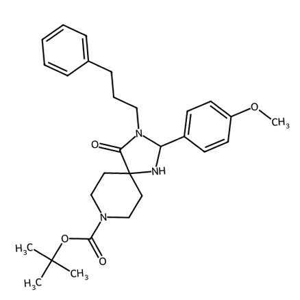 COc1ccc(C2NC3(CCN(C(=O)OC(C)(C)C)CC3)C(=O)N2CCCc2ccccc2)cc1